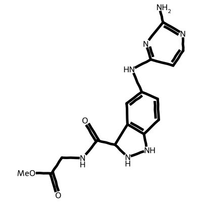 COC(=O)CNC(=O)C1NNc2ccc(Nc3ccnc(N)n3)cc21